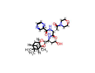 CC1(C)[C@@H]2C[C@H]3OB([C@H](CCO)NC(=O)[C@@H](CC(=O)N4CCOCC4)NC(=O)c4cnccn4)O[C@@]3(C)[C@H]1C2